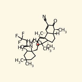 CC(=O)/C=C1/[C@@]2(C)C=C(C#N)C(=O)[C@@H](C)[C@@H]2CC[C@@]1(C)C(C)(C)CC[C@@]1(NC(=O)CC(F)(F)F)CCC(C)(C)CC1C